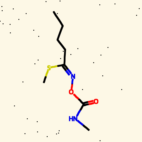 CCCCC(=NOC(=O)NC)SC